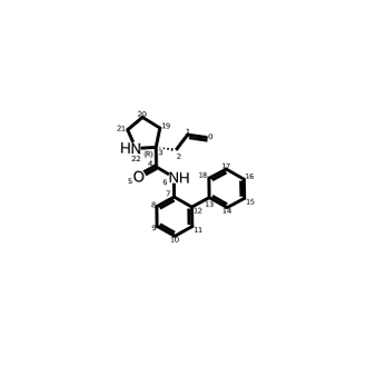 C=CC[C@@]1(C(=O)Nc2ccccc2-c2ccccc2)CCCN1